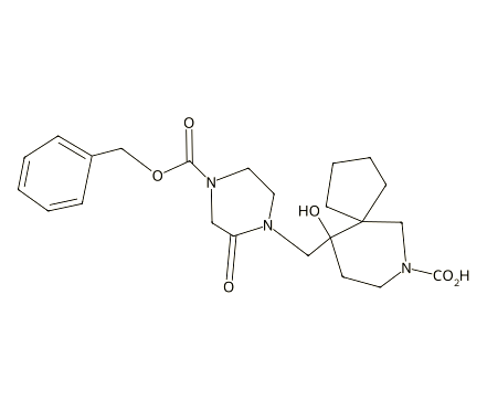 O=C(O)N1CCC(O)(CN2CCN(C(=O)OCc3ccccc3)CC2=O)C2(CCCC2)C1